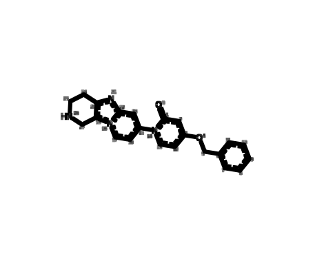 O=c1cc(OCc2ccccc2)ccn1-c1ccn2c3c(nc2c1)CCNC3